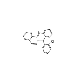 Clc1ccccc1-c1c2ccccc2nc2c1ccc1ccccc12